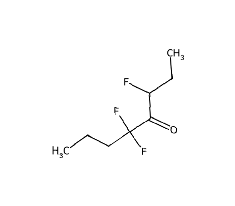 CCCC(F)(F)C(=O)C(F)CC